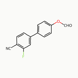 N#Cc1ccc(-c2ccc(OC=O)cc2)cc1F